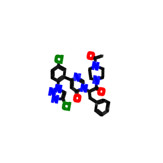 CC(=O)N1CCN(C(=O)C(Cc2ccccc2)n2cnc(-c3cc(Cl)ccc3-n3cc(Cl)nn3)cc2=O)CC1